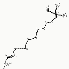 [2H]C([2H])([2H])CCCCCCCCC=CC(=O)O